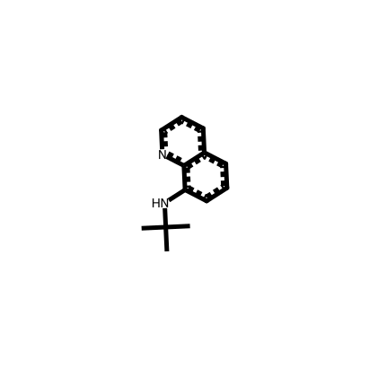 CC(C)(C)Nc1cccc2cccnc12